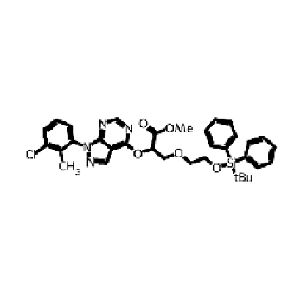 COC(=O)C(COCCO[Si](c1ccccc1)(c1ccccc1)C(C)(C)C)Oc1ncnc2c1cnn2-c1cccc(Cl)c1C